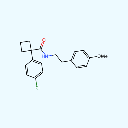 COc1ccc(CCNC(=O)C2(c3ccc(Cl)cc3)CCC2)cc1